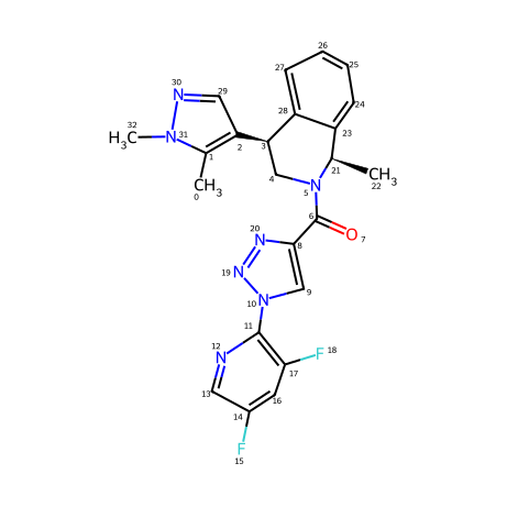 Cc1c([C@@H]2CN(C(=O)c3cn(-c4ncc(F)cc4F)nn3)[C@H](C)c3ccccc32)cnn1C